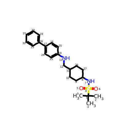 CC(C)(C)S(=O)(=O)NC1CCC(CNc2ccc(-c3ccccc3)cc2)CC1